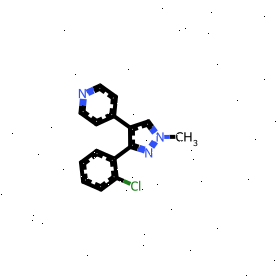 Cn1cc(-c2ccncc2)c(-c2ccccc2Cl)n1